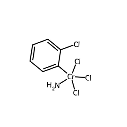 [NH2][Cr]([Cl])([Cl])([Cl])[c]1ccccc1Cl